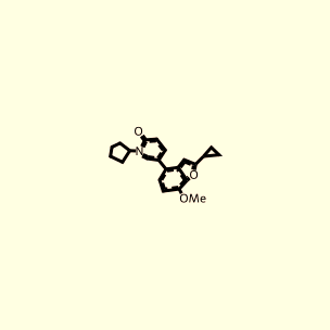 COc1ccc(-c2ccc(=O)n(C3CCCC3)c2)c2cc(C3CC3)oc12